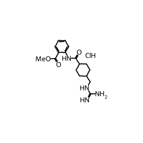 COC(=O)c1ccccc1NC(=O)C1CCC(CNC(=N)N)CC1.Cl